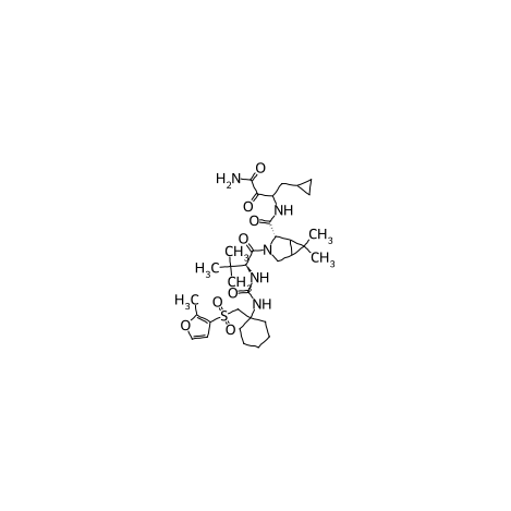 Cc1occc1S(=O)(=O)CC1(NC(=O)N[C@H](C(=O)N2CC3C([C@H]2C(=O)NC(CC2CC2)C(=O)C(N)=O)C3(C)C)C(C)(C)C)CCCCC1